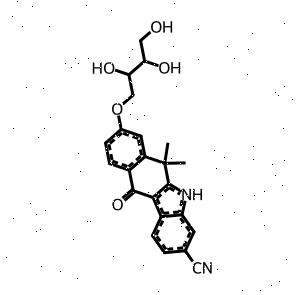 CC1(C)c2cc(OCC(O)C(O)CO)ccc2C(=O)c2c1[nH]c1cc(C#N)ccc21